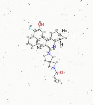 C=CC(=O)N1CC2(CCN(c3nc4c(c(-c5cc(O)c(F)c6ccccc56)c3C#N)CC[C@H]3C[C@H]43)C2)C1